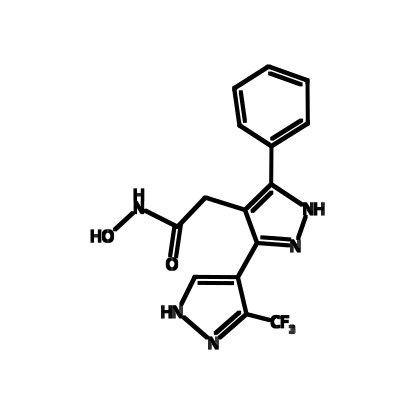 O=C(Cc1c(-c2c[nH]nc2C(F)(F)F)n[nH]c1-c1ccccc1)NO